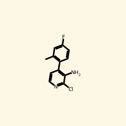 Cc1cc(F)ccc1-c1ccnc(Cl)c1N